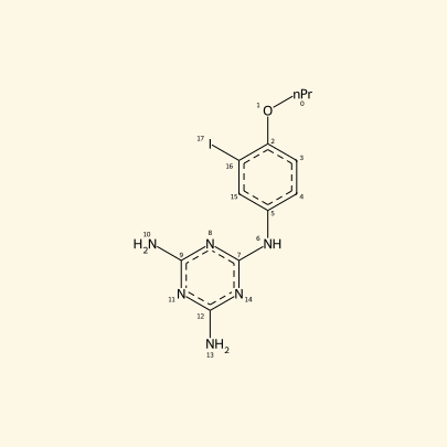 CCCOc1ccc(Nc2nc(N)nc(N)n2)cc1I